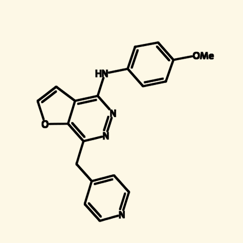 COc1ccc(Nc2nnc(Cc3ccncc3)c3occc23)cc1